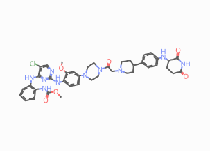 COC(=O)Nc1ccccc1Nc1nc(Nc2ccc(N3CCN(C(=O)CN4CCC(c5ccc(NC6CCC(=O)NC6=O)cc5)CC4)CC3)cc2OC)ncc1Cl